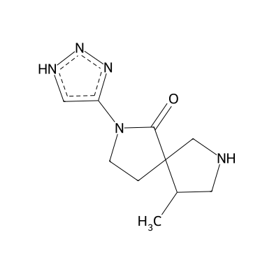 CC1CNCC12CCN(c1c[nH]nn1)C2=O